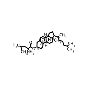 CC(C)CCC[C@H](C)C1CC[C@@H]2[C@H]3CC=C4C[C@H](OC(=O)C(N)CC(C)C)CC[C@@]4(C)[C@@H]3CC[C@@]12C